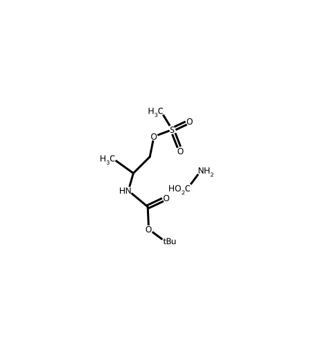 CC(COS(C)(=O)=O)NC(=O)OC(C)(C)C.NC(=O)O